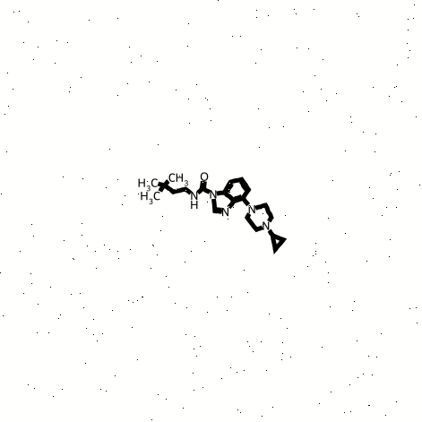 CC(C)(C)CCNC(=O)n1cnc2c(N3CCN(C4CC4)CC3)cccc21